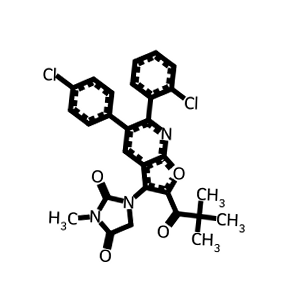 CN1C(=O)CN(c2c(C(=O)C(C)(C)C)oc3nc(-c4ccccc4Cl)c(-c4ccc(Cl)cc4)cc23)C1=O